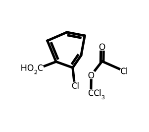 O=C(Cl)OC(Cl)(Cl)Cl.O=C(O)c1ccccc1Cl